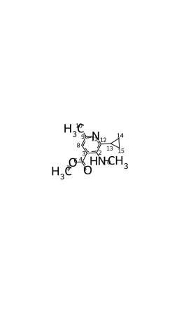 CNc1c(C(=O)OC)cc(C)nc1C1CC1